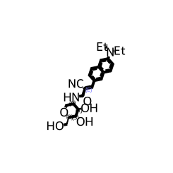 CCN(CC)c1ccc2cc(/C=C(\C#N)C(=O)N[C@H]3CO[C@H](CO)[C@@H](O)[C@@H]3O)ccc2c1